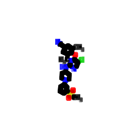 Cc1cc(C#N)cc(C)c1Oc1nc(NC2CCN(c3cccc(S(C)(=O)=O)c3)CC2)ncc1Cl